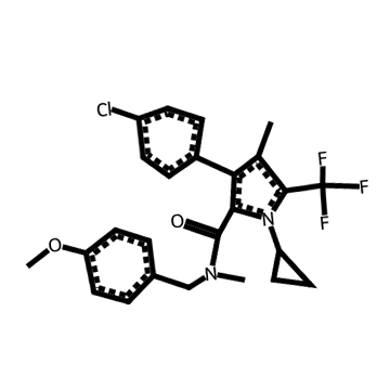 COc1ccc(CN(C)C(=O)c2c(-c3ccc(Cl)cc3)c(C)c(C(F)(F)F)n2C2CC2)cc1